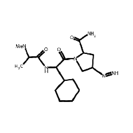 CNC(C)C(=O)NC(C(=O)N1CC(N=N)CC1C(N)=O)C1CCCCC1